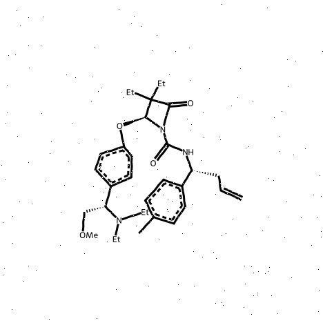 C=CC[C@@H](NC(=O)N1C(=O)C(CC)(CC)[C@@H]1Oc1ccc([C@@H](COC)N(CC)CC)cc1)c1ccc(C)cc1